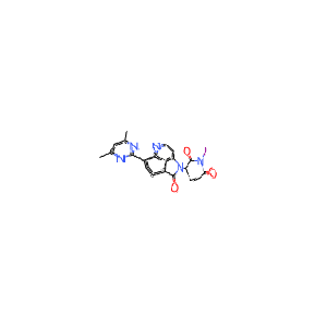 Cc1cc(C)nc(-c2ccc3c4c(ccnc24)N(C2CCC(=O)N(I)C2=O)C3=O)n1